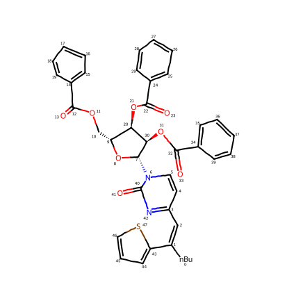 CCCCC(=Cc1ccn([C@@H]2O[C@H](COC(=O)c3ccccc3)[C@@H](OC(=O)c3ccccc3)[C@H]2OC(=O)c2ccccc2)c(=O)n1)c1cccs1